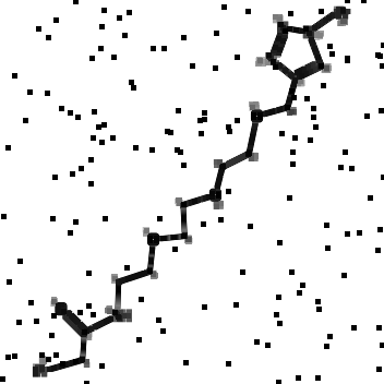 CC(C)CC(=O)NCCOCCOCCOCc1cn(C(C)C)nn1